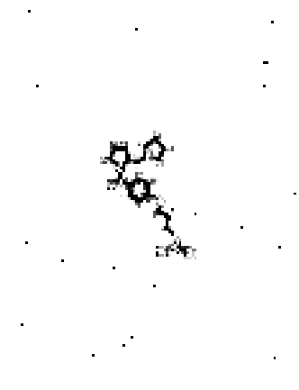 CCN(CC)CCCCOc1ccc(C(=O)N2CCC[C@H]2CN2CCCC2)cc1